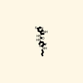 CCCCNc1ncc(NC(=O)Nc2c[nH]c3ncc(F)cc23)cc1F